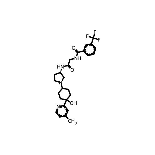 Cc1ccnc(C2(O)CCC(N3CC[C@@H](NC(=O)CNC(=O)c4cccc(C(F)(F)F)c4)C3)CC2)c1